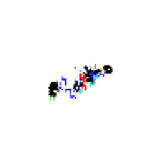 CN(C)CC[C@H](CSc1ccccc1)Nc1ccc(S(=O)(=O)NC(=O)c2ccc(NCCNCc3ccccc3-c3ccc(Cl)cc3)cc2F)cc1C(F)(F)F